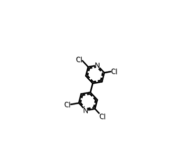 Clc1cc(-c2cc(Cl)nc(Cl)c2)cc(Cl)n1